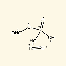 O=COP(=O)(O)O.[O]=[Ti]